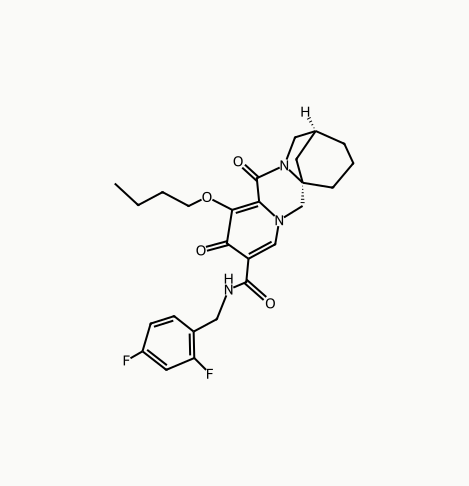 CCCCOc1c2n(cc(C(=O)NCc3ccc(F)cc3F)c1=O)C[C@]13CCC[C@H](CN1C2=O)C3